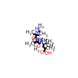 CCNC(CC)(CC)C(=O)N[C@H](C(=O)N(C)[C@H](/C=C(\C)C(=O)O)C(C)C)C(C)(C)C